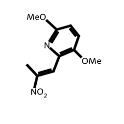 COc1ccc(OC)c(/C=C(\C)[N+](=O)[O-])n1